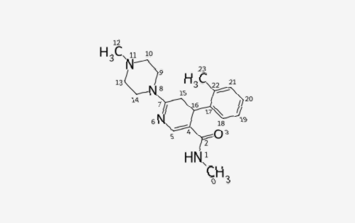 CNC(=O)C1=CN=C(N2CCN(C)CC2)CC1c1ccccc1C